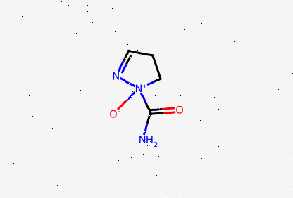 NC(=O)[N+]1([O-])CCC=N1